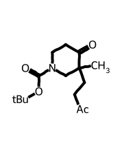 CC(=O)CCC1(C)CN(C(=O)OC(C)(C)C)CCC1=O